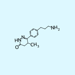 CC1CC(=O)NN=C1c1ccc(CCCN)cc1